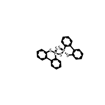 S=P1(SP2(=S)Sc3ccccc3-c3ccccc32)Sc2ccccc2-c2ccccc21